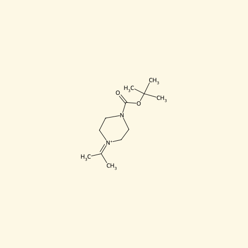 CC(C)=[N+]1CCN(C(=O)OC(C)(C)C)CC1